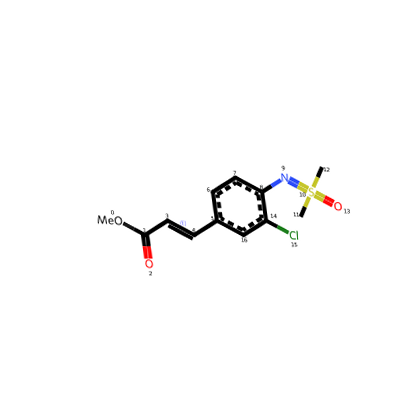 COC(=O)/C=C/c1ccc(N=S(C)(C)=O)c(Cl)c1